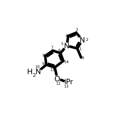 Cc1nccn1-c1ccc(N)c(OC(C)C)c1